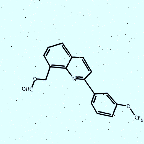 O=COCc1cccc2ccc(-c3cccc(OC(F)(F)F)c3)nc12